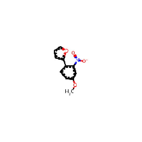 COc1ccc(-c2ccco2)c([N+](=O)[O-])c1